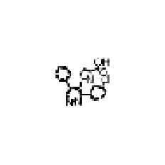 O=C(O)C1=CCC(c2c(-c3ccccc3)cnnc2-c2cccc(Cl)c2)=N1